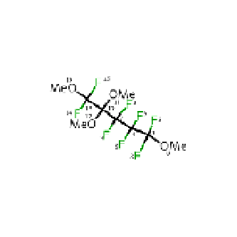 COC(F)(F)C(F)(F)C(F)(F)C(OC)(OC)C(F)(F)OC